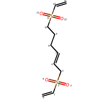 C=CS(=O)(=O)C/C=C/CCCS(=O)(=O)C=C